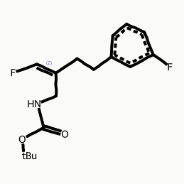 CC(C)(C)OC(=O)NC/C(=C\F)CCc1cccc(F)c1